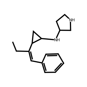 CCC(=Cc1ccccc1)C1CC1NC1CCNC1